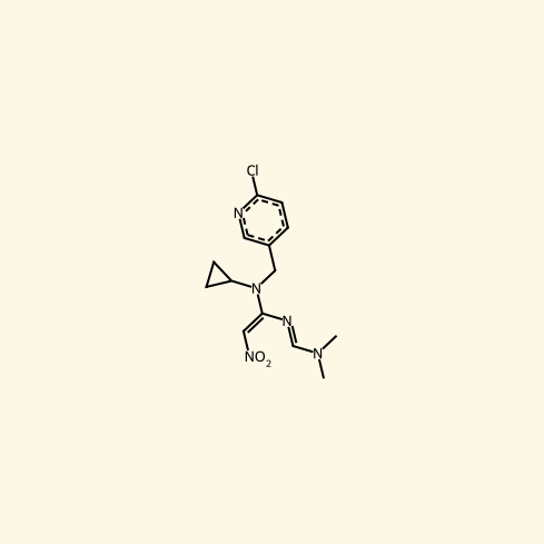 CN(C)C=NC(=C[N+](=O)[O-])N(Cc1ccc(Cl)nc1)C1CC1